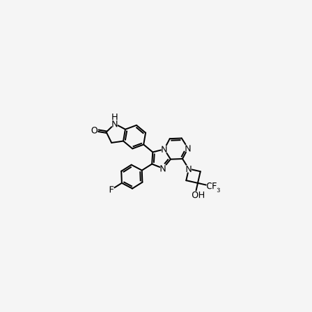 O=C1Cc2cc(-c3c(-c4ccc(F)cc4)nc4c(N5CC(O)(C(F)(F)F)C5)nccn34)ccc2N1